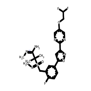 CN=S(=O)(Cc1cc(-c2cc(-c3ncc(OCC(F)F)cn3)no2)ccc1F)C(C)(C)/C(N)=N\C